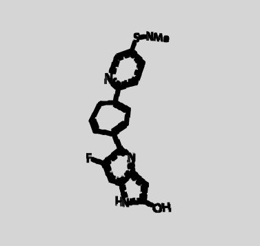 CNSc1ccc(C2=CC=C(c3nc4cc(O)[nH]c4cc3F)C=CC2)nc1